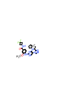 CCC1c2nncn2-c2cnc(Nc3ccc(C(=O)NC4CC(F)(F)C4)cc3OC)nc2N1C1CCCC1